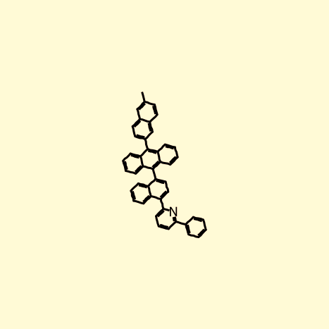 Cc1ccc2cc(-c3c4ccccc4c(-c4ccc(-c5cccc(-c6ccccc6)n5)c5ccccc45)c4ccccc34)ccc2c1